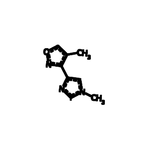 Cc1conc1-c1cn(C)[c]n1